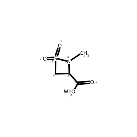 COC(=O)C1CS(=O)(=O)N1C